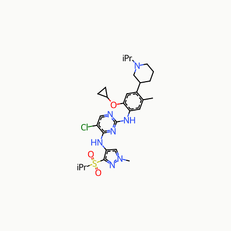 Cc1cc(Nc2ncc(Cl)c(Nc3cn(C)nc3S(=O)(=O)C(C)C)n2)c(OC2CC2)cc1C1CCCN(C(C)C)C1